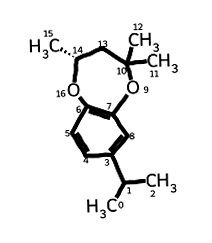 CC(C)c1ccc2c(c1)OC(C)(C)C[C@@H](C)O2